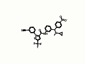 CN(C1CC1)C(c1ccc([N+](=O)[O-])cc1)c1cccc(NC(=O)c2cc(C(F)(F)F)nn2-c2cccc(C#N)c2)c1